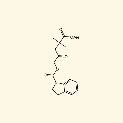 COC(=O)C(C)(C)CC(=O)COC(=O)N1CCc2ccccc21